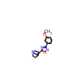 COc1cccc(-c2noc(C3CN4CCC3CC4)n2)c1